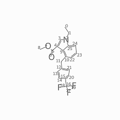 CCn1cc(C(=O)OC)c2c(Cc3ccc(C(F)(F)F)cc3)cccc21